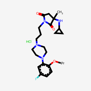 CC(C)Oc1ccc(F)cc1N1CCN(CCCN2C(=O)CC(C)(NC3CC3)C2=O)CC1.Cl